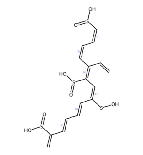 C=CC(/C=C\C=C/S(=O)O)=C(\C=C(/C=C/C=C/C(=C)S(=O)O)SO)S(=O)O